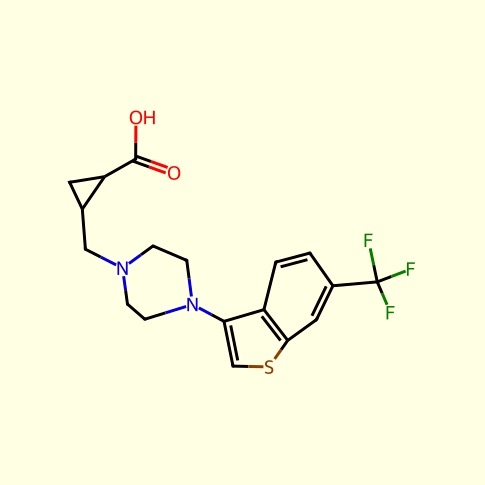 O=C(O)C1CC1CN1CCN(c2csc3cc(C(F)(F)F)ccc23)CC1